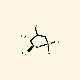 C=CCC(CC)C[N+]([O-])(O)O.O